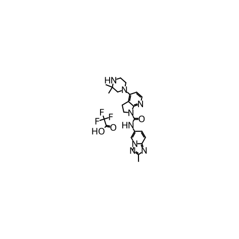 Cc1nc2ccc(NC(=O)N3CCc4c(N5CCNC(C)(C)C5)ccnc43)cn2n1.O=C(O)C(F)(F)F